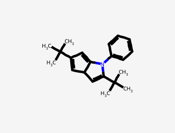 CC(C)(C)C1=CC2C=C(C(C)(C)C)N(c3ccccc3)C2=C1